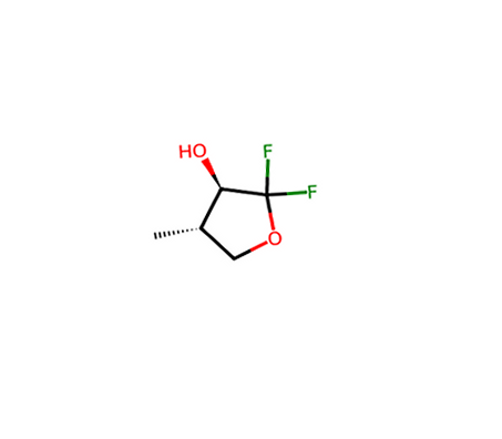 C[C@H]1COC(F)(F)[C@@H]1O